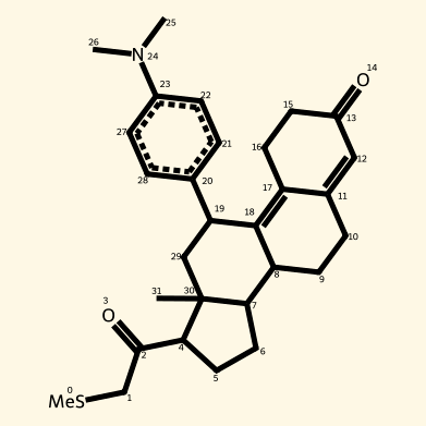 CSCC(=O)C1CCC2C3CCC4=CC(=O)CCC4=C3C(c3ccc(N(C)C)cc3)CC12C